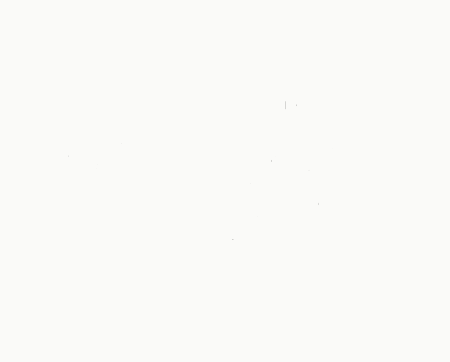 C/C(=C/CC1CC(OC(=O)c2ccccc2O)CC(C)(C)C1)C(=O)Cl